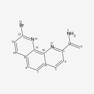 C=C(N)c1ccc2ccc3ccc(Br)nc3c2n1